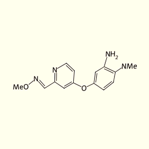 CNc1ccc(Oc2ccnc(C=NOC)c2)cc1N